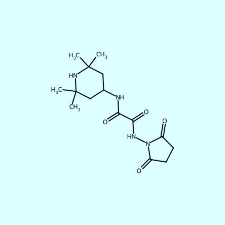 CC1(C)CC(NC(=O)C(=O)NN2C(=O)CCC2=O)CC(C)(C)N1